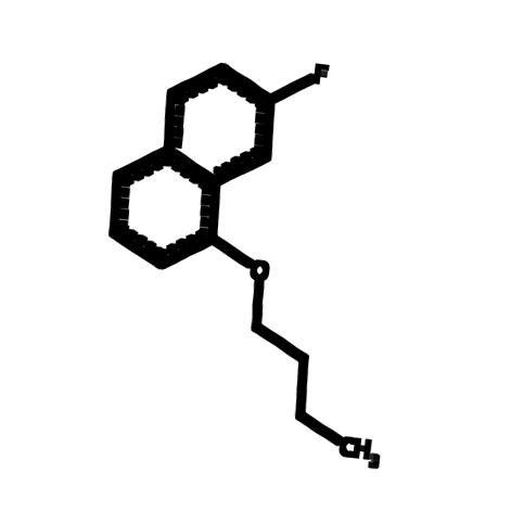 CCCCOc1cccc2ccc(F)cc12